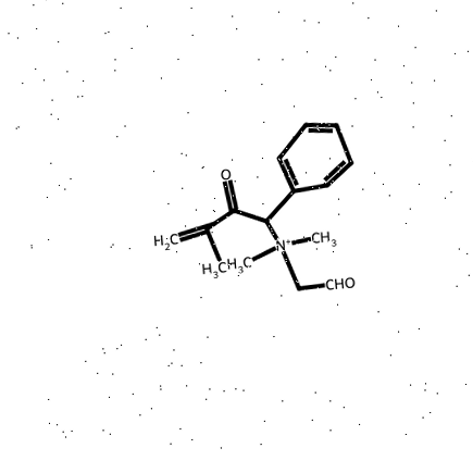 C=C(C)C(=O)C(c1ccccc1)[N+](C)(C)CC=O